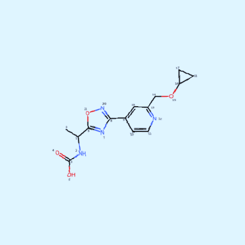 CC(NC(=O)O)c1nc(-c2ccnc(COC3CC3)c2)no1